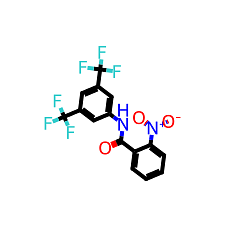 O=C(Nc1cc(C(F)(F)F)cc(C(F)(F)F)c1)c1ccccc1[N+](=O)[O-]